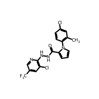 Cc1cc(Cl)ccc1-n1cccc1C(=O)NNc1ncc(C(F)(F)F)cc1Cl